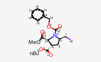 CCCCOC(=O)[C@H]1CC(CI)N(C(=O)OCc2ccccc2)[C@@H]1C(=O)OC